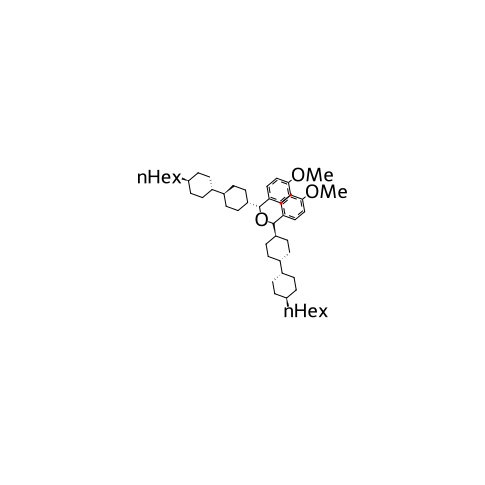 CCCCCC[C@H]1CC[C@H]([C@H]2CC[C@H](C(OC(c3ccc(OC)cc3)[C@H]3CC[C@H]([C@H]4CC[C@H](CCCCCC)CC4)CC3)c3ccc(OC)cc3)CC2)CC1